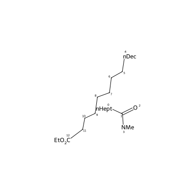 CCCCCCCC(=O)NC.CCCCCCCCCCCCCCCCCC(=O)OCC